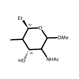 CC[C@H]1OC(OC)C(NC(C)=O)[C@H](O)C1C